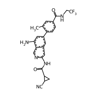 Cc1cc(C(=O)NCC(F)(F)F)ccc1-c1cc(N)c2cnc(NC(=O)C3CC3C#N)cc2c1